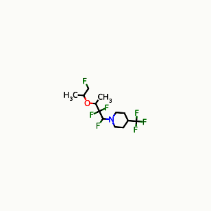 CC(CF)OC(C)C(F)(F)C(F)N1CCC(C(F)(F)F)CC1